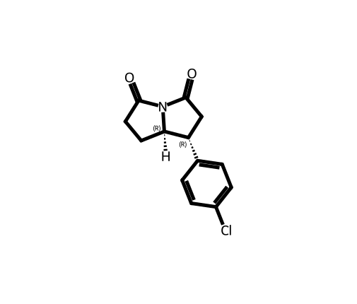 O=C1CC[C@@H]2[C@@H](c3ccc(Cl)cc3)CC(=O)N12